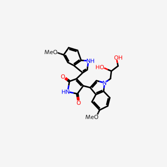 COc1ccc2[nH]cc(C3=C(c4cn(CC(O)CO)c5ccc(OC)cc45)C(=O)NC3=O)c2c1